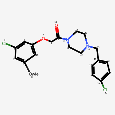 COc1cc(Cl)cc(OCC(=O)N2CCN(Cc3ccc(Cl)cc3)CC2)c1